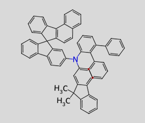 CC1(C)c2ccccc2-c2ccc(N(c3ccc4c(c3)C3(c5ccccc5-4)c4ccccc4-c4c3ccc3ccccc43)c3cccc(-c4ccccc4)c3-c3ccccc3)cc21